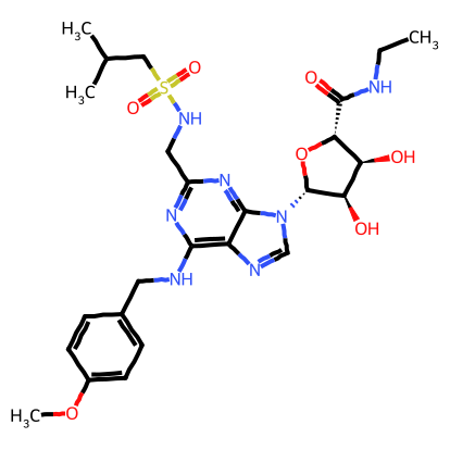 CCNC(=O)[C@H]1O[C@@H](n2cnc3c(NCc4ccc(OC)cc4)nc(CNS(=O)(=O)CC(C)C)nc32)[C@H](O)[C@@H]1O